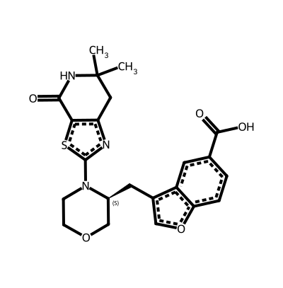 CC1(C)Cc2nc(N3CCOC[C@@H]3Cc3coc4ccc(C(=O)O)cc34)sc2C(=O)N1